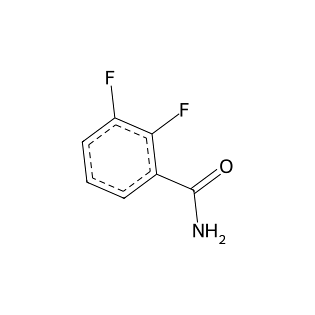 NC(=O)c1cccc(F)c1F